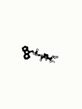 CC(=NO)c1ccc(C(=O)NNC(=O)OCC2c3ccccc3-c3ccccc32)s1